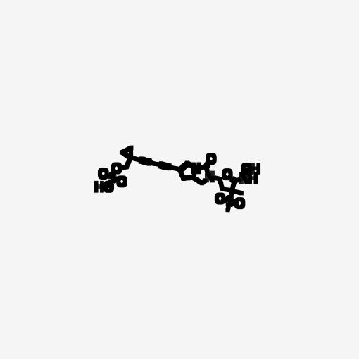 CC(CCN1Cc2cc(C#CC#CC3(COS(=O)(=O)O)CC3)cn2C1=O)(C(=O)NO)S(C)(=O)=O